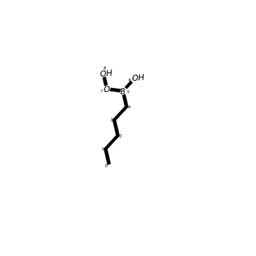 CCCCCB(O)OO